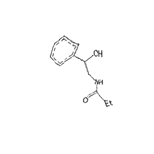 CCC(=O)NCC(O)c1ccccc1